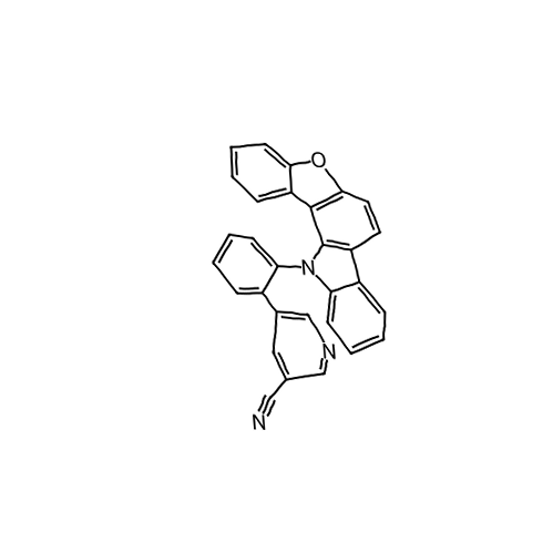 N#Cc1cncc(-c2ccccc2-n2c3ccccc3c3ccc4oc5ccccc5c4c32)c1